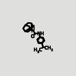 CC(C)c1ccc(NC(=O)NC23CC4CC(CC(C4)C2)C3)cc1